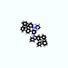 C1=CN2c3cc(-n4c5ccccc5c5cc([Si](c6ccccc6)(c6ccccc6)c6ccccc6)ccc54)ccc3N(c3cccc([Si](c4ccccc4)(c4ccccc4)c4ccccc4)c3)N2C=C1